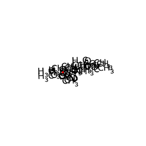 C=C(C)[C@H](C[C@@H]1CC[C@@H](C)C(O[Si](C)(C)C(C)(C)C)(C(=O)C(=O)N2CCCC[C@H]2C(=O)N[C@@H](C(=O)O)[C@H](C)C[C@@H]2CCC(O[Si](C)(C)C(C)(C)C)[C@H](OC)C2)O1)OC